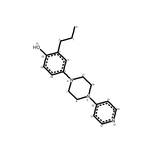 CCCc1cc(N2CCN(c3ccncc3)CC2)ccc1O